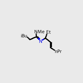 CCC/C=C/C(CC)/N=C(/CC(C)CC)NC